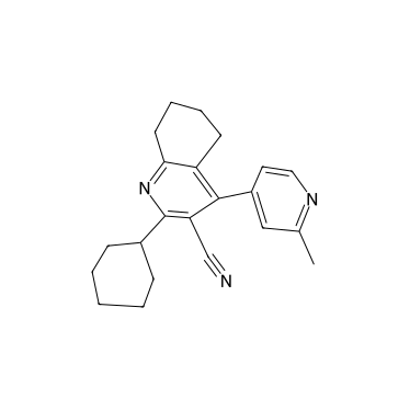 Cc1cc(-c2c(C#N)c(C3CCCCC3)nc3c2CCCC3)ccn1